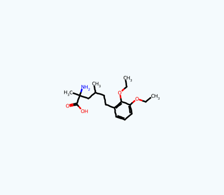 CCOc1cccc(CCC(C)CC(C)(N)C(=O)O)c1OCC